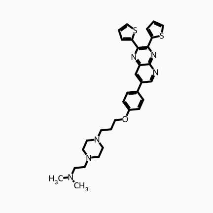 CN(C)CCN1CCN(CCCOc2ccc(-c3cnc4nc(-c5cccs5)c(-c5cccs5)nc4c3)cc2)CC1